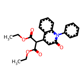 CCOC(=O)C(C(=O)OCC)c1cc(=O)n(-c2ccccc2)c2ccccc12